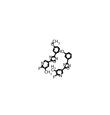 COc1cccc(-c2noc(-c3cnc(F)c(C)c3)n2)c1.Cc1cc(-c2nc(-c3cccc(O)c3)no2)cnc1F